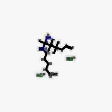 C=CCC(C)(C)C(C)(C)C(C)(N)NCCCCCCCCCCCCCC.Cl.Cl